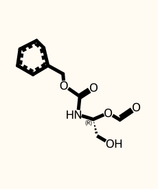 O=CO[C@H](CO)NC(=O)OCc1ccccc1